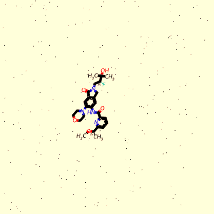 CO[C@@H](C)c1cccc(C(=O)Nc2cc3c(cc2N2CCOCC2)C(=O)N(C[C@@H](F)C(C)(C)O)C3)n1